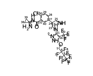 Cn1nc(OCC(F)(F)C(F)(F)C(F)(F)F)c(C(F)(F)F)c1N/C=C(\C=N)c1ccc(Cl)c(C(=O)NC2(N)CC2)c1